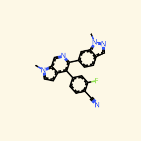 Cn1ccc2c(-c3ccc(C#N)c(F)c3)c(-c3ccc4cnn(C)c4c3)ncc21